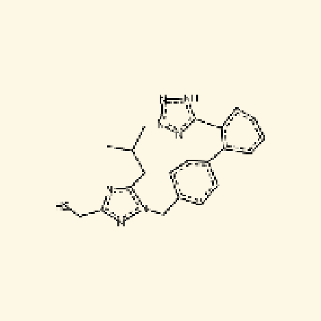 CC(C)Cc1nc(CS)nn1Cc1ccc(-c2ccccc2-c2nnn[nH]2)cc1